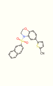 N#Cc1ccc(-c2ccc3c(c2)N(S(=O)(=O)c2ccc4ccccc4c2)CCO3)s1